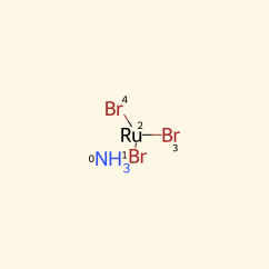 N.[Br][Ru]([Br])[Br]